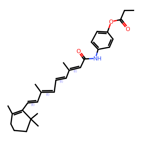 CCC(=O)Oc1ccc(NC(=O)/C=C(C)/C=C/C=C(C)/C=C/C2=C(C)CCCC2(C)C)cc1